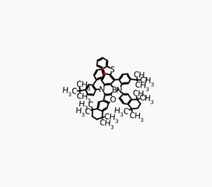 CC(C)(C)c1ccc(N2c3cc4c(sc5ccccc54)c4c3B(c3oc5cc6c(cc5c32)C(C)(C)CCC6(C)C)N(c2ccc3c(c2)C(C)(C)CCC3(C)C)c2cc(C(C)(C)C)ccc2-4)c(-c2ccccc2)c1